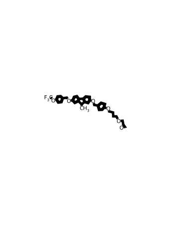 CC1c2cc(OCc3ccc(OCCCCOCC4CO4)cc3)ccc2-c2ccc(OCc3ccc(OC(F)(F)F)cc3)cc21